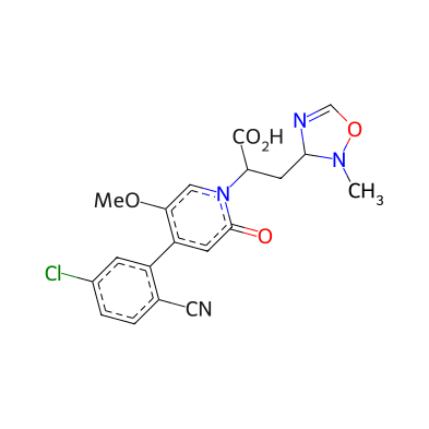 COc1cn(C(CC2N=CON2C)C(=O)O)c(=O)cc1-c1cc(Cl)ccc1C#N